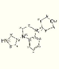 c1ccc2c(c1)N(C1CCOCC1)CCN2[C@@H]1CCNC1